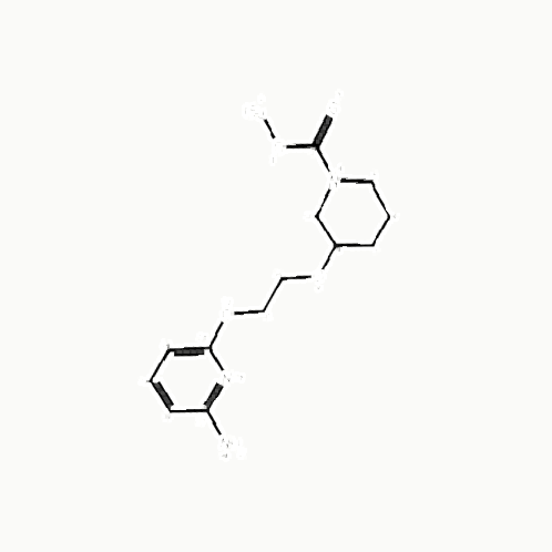 CC(C)(C)OC(=O)N1CCCC(OCCOc2cccc(N)n2)C1